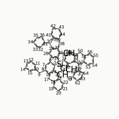 Cc1c([Si](Cl)(c2ccc(Cc3ccccc3)c(Cc3ccccc3)c2C)c2ccc(Cc3ccccc3)c(Cc3ccccc3)c2C)ccc(Cc2ccccc2)c1Cc1ccccc1